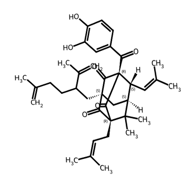 C=C(C)CCC(C[C@@]12C[C@H]3[C@@H](C=C(C)C)[C@@](C(=O)c4ccc(O)c(O)c4)(C1=O)C(=O)[C@@](CC=C(C)C)(C2=O)C3(C)C)C(=C)C